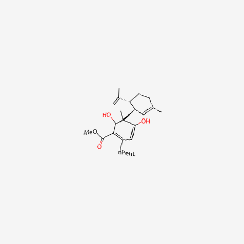 C=C(C)[C@@H]1CCC(C)=C[C@H]1C1(C)C(O)=CC(CCCCC)=C(C(=O)OC)C1O